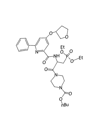 CCCCOC(=O)N1CCN(C(=O)C(CP(=O)(OCC)OCC)NC(=O)c2cc(OC3CCOC3)cc(-c3ccccc3)n2)CC1